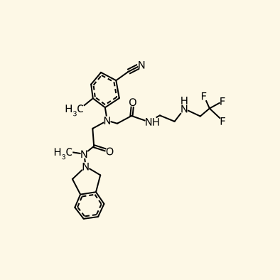 Cc1ccc(C#N)cc1N(CC(=O)NCCNCC(F)(F)F)CC(=O)N(C)N1Cc2ccccc2C1